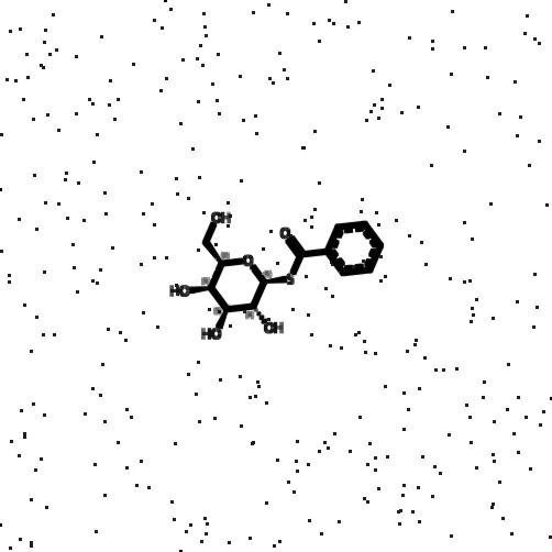 O=C(S[C@@H]1O[C@H](CO)[C@H](O)[C@H](O)[C@H]1O)c1ccccc1